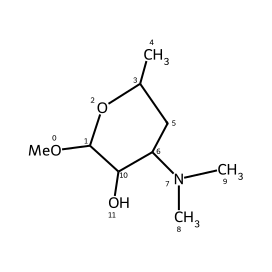 COC1OC(C)CC(N(C)C)C1O